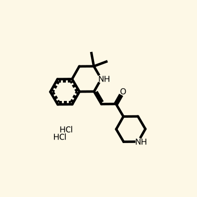 CC1(C)Cc2ccccc2C(=CC(=O)C2CCNCC2)N1.Cl.Cl